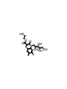 Cc1cc2nc(C(=O)OCCO)c(=O)n(C[C@H](O)[C@H](O)[C@H](O)CO)c2cc1C